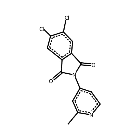 Cc1cc(N2C(=O)c3cc(Cl)c(Cl)cc3C2=O)ccn1